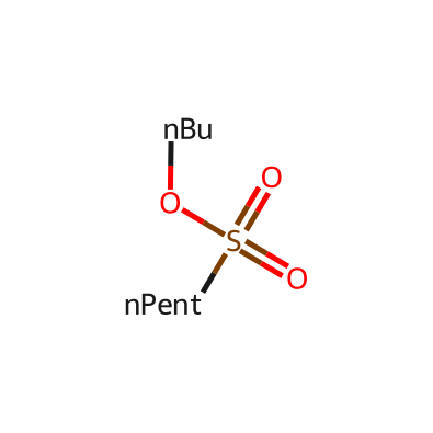 CCCCCS(=O)(=O)OCCCC